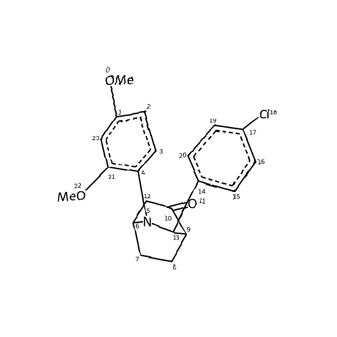 COc1ccc(N2C3CCC(C(=O)C3)C2c2ccc(Cl)cc2)c(OC)c1